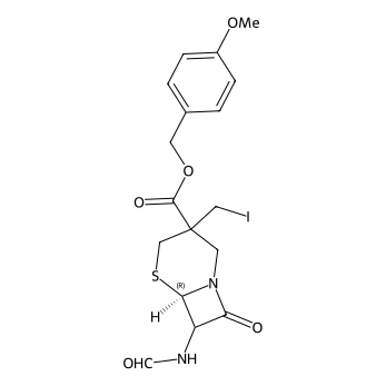 COc1ccc(COC(=O)C2(CI)CS[C@@H]3C(NC=O)C(=O)N3C2)cc1